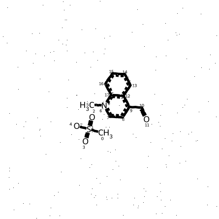 CS(=O)(=O)[O-].C[n+]1ccc(C=O)c2ccccc21